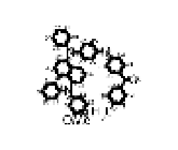 COc1ccc(N(c2ccccc2)c2cccc3c(N(c4ccccc4)c4ccc(Oc5ccc(C(=O)c6ccc(C)cc6)cc5)cc4)cccc23)cc1